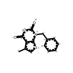 Cc1csc2c1c(=O)oc(=O)n2Cc1ccccc1